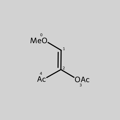 CO/C=C(/OC(C)=O)C(C)=O